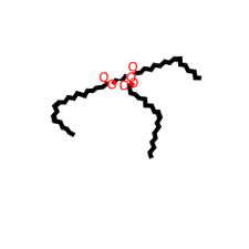 CCCCC/C=C\C/C=C\CCCCCCCCCC(=O)OC[C@@H](COC(=O)CCCCCCC/C=C\CCCCCC)OC(=O)CCCCCCC/C=C\CCCCCCCC